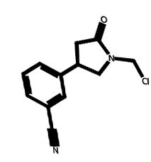 N#Cc1cccc(C2CC(=O)N(CCl)C2)c1